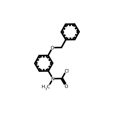 CN(C(=O)Cl)c1cccc(OCc2ccccc2)c1